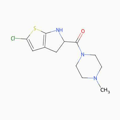 CN1CCN(C(=O)C2Cc3cc(Cl)sc3N2)CC1